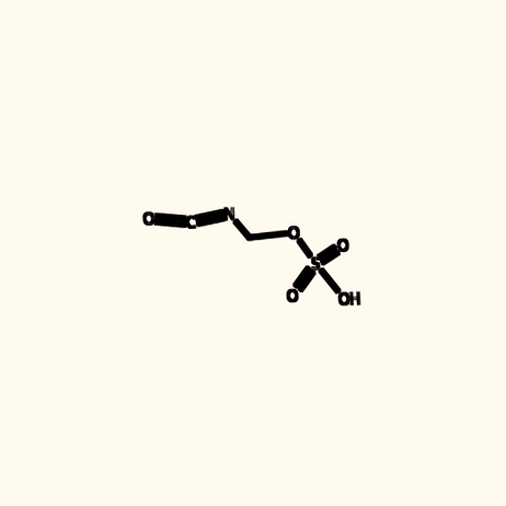 O=C=NCOS(=O)(=O)O